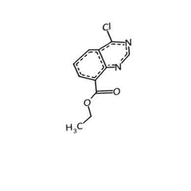 CCOC(=O)c1cccc2c(Cl)ncnc12